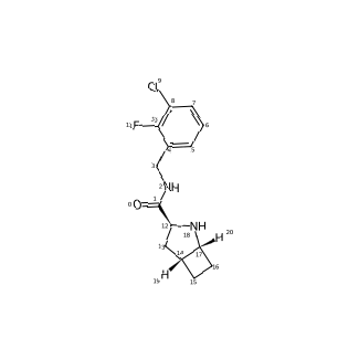 O=C(NCc1cccc(Cl)c1F)[C@@H]1C[C@H]2CC[C@H]2N1